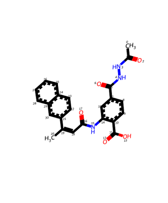 CC(=O)NNC(=O)c1ccc(C(=O)O)c(NC(=O)/C=C(/C)c2ccc3ccccc3c2)c1